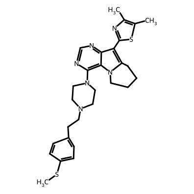 CSc1ccc(CCN2CCN(c3ncnc4c(-c5nc(C)c(C)s5)c5n(c34)CCCC5)CC2)cc1